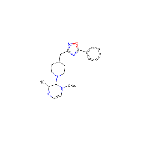 CON1C=CN=C(C#N)C1N1CCC(=Cc2noc(-c3ccccc3)n2)CC1